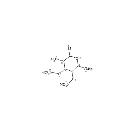 CCC1OC(OC)C(OS(=O)(=O)O)C(OS(=O)(=O)O)C1C